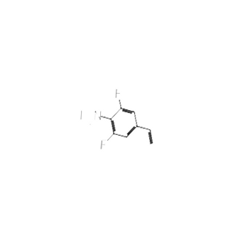 C=Cc1cc(F)c(N)c(F)c1